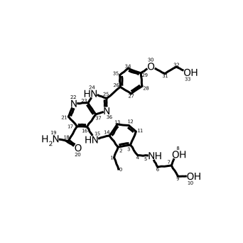 CCc1c(CNCC(O)CO)cccc1Nc1c(C(N)=O)cnc2[nH]c(-c3ccc(OCCO)cc3)nc12